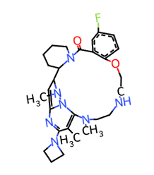 CC1=C2N(C)CCNCCOc3ccc(F)cc3C(=O)N3CCCCC3C3C=C(N=C1N1CCC1)N2N3C